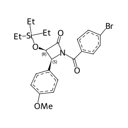 CC[Si](CC)(CC)O[C@H]1C(=O)N(C(=O)c2ccc(Br)cc2)[C@H]1c1ccc(OC)cc1